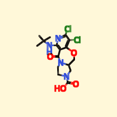 CC(C)(C)Nc1nc(Cl)c(Cl)c2c1C(=O)N1CCN(C(=O)O)CC1CO2